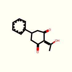 CC(O)=C1C(=O)CC(c2ccccc2)CC1=O